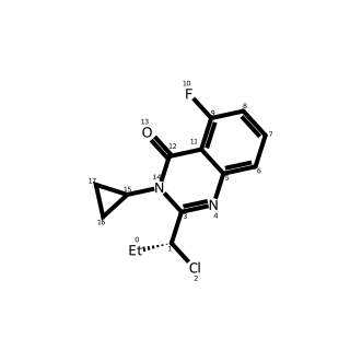 CC[C@@H](Cl)c1nc2cccc(F)c2c(=O)n1C1CC1